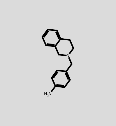 Nc1ccc(CN2CCc3ccccc3C2)cc1